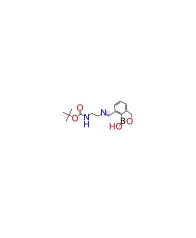 CC(C)(C)OC(=O)NCC/N=C/c1cccc2c1B(O)OC2